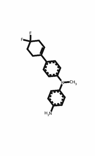 CN(c1ccc(N)cc1)c1ccc(C2=CCC(F)(F)CC2)cc1